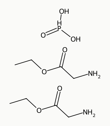 CCOC(=O)CN.CCOC(=O)CN.O=[PH](O)O